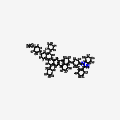 N#Cc1ccc(-c2ccc3c(c2)c(-c2ccccc2)cc2c4cc5c(cc4c(-c4ccccc4)cc32)-c2cccc3c(-c4ccc(-n6c(-c7ccccc7)nc7ccccc76)cc4)ccc-5c23)cc1